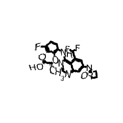 C[C@@H](Oc1cc(F)ccc1Nc1ncnc2cc(N=S3(=O)CCC3)cc(C(F)F)c12)C(=O)O